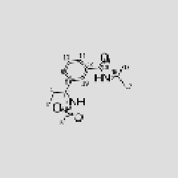 CC[C](NS(C)(=O)=O)c1cccc(C(=O)NC(C)C)c1